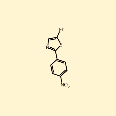 CCc1cnc(-c2ccc([N+](=O)[O-])cc2)s1